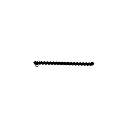 C=CC(=O)OCCCCCCCCCCCCCCCCCCCCCCCCCCCCCCCCCCCC(C)C